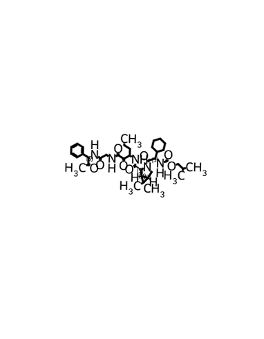 CCCC(NC(=O)[C@@H]1[C@@H]2[C@H](CN1C(=O)[C@@H](NC(=O)OCC(C)C)C1CCCCC1)C2(C)C)C(=O)C(=O)NCC(=O)N[C@H](C(C)=O)c1ccccc1